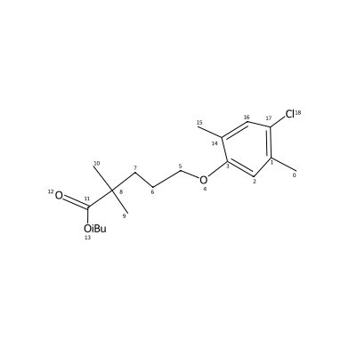 Cc1cc(OCCCC(C)(C)C(=O)OCC(C)C)c(C)cc1Cl